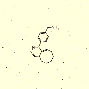 NCc1ccc(C2=NN=CC3CCCCC/C=C/23)cc1